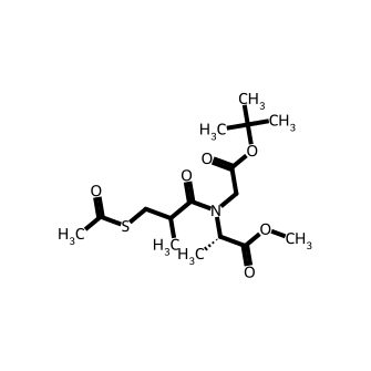 COC(=O)[C@H](C)N(CC(=O)OC(C)(C)C)C(=O)C(C)CSC(C)=O